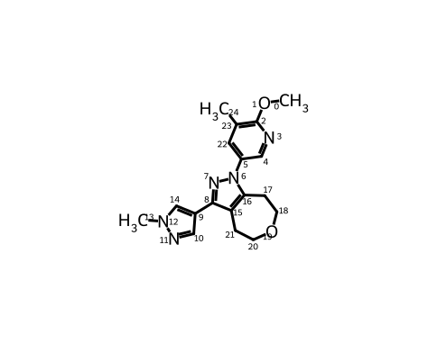 COc1ncc(-n2nc(-c3cnn(C)c3)c3c2CCOCC3)cc1C